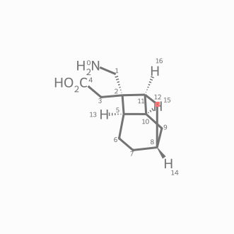 NC[C@@]1(CC(=O)O)[C@@H]2CC[C@H]3C[C@@H]2[C@@H]1C3